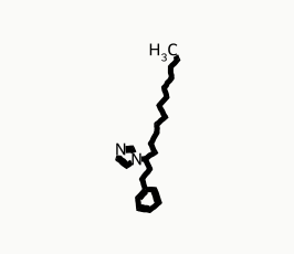 CCCCCCCCCCCCC(CCc1ccccc1)n1ccnc1